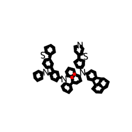 c1ccc(N(c2ccc3c(c2)c2cc4c(cc2n3-c2ccccc2)sc2ccccc24)c2ccccc2-c2ccc(N(c3ccc4c(c3)-c3cccc5cccc-4c35)c3ccc4c(c3)sc3cnccc34)cc2)cc1